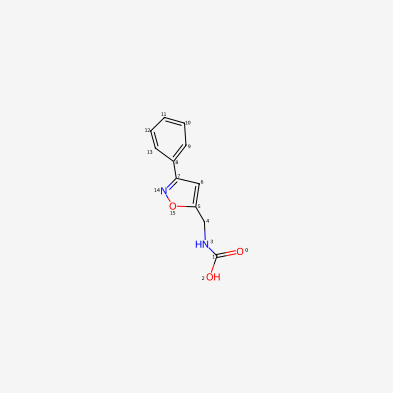 O=C(O)NCc1cc(-c2ccccc2)no1